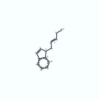 FC/C=C/CC1C=Cc2cc[c]cc21